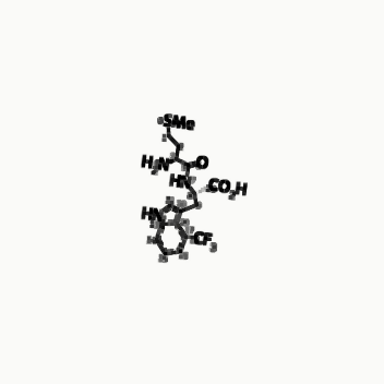 CSCC[C@H](N)C(=O)N[C@@H](Cc1c[nH]c2cccc(C(F)(F)F)c12)C(=O)O